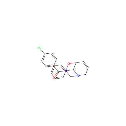 O=C(c1ccc(Cl)cc1)N1CN2CC=CC(O1)C2c1ccccc1